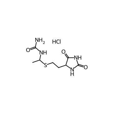 CC(NC(N)=O)SCCC1NC(=O)NC1=O.Cl